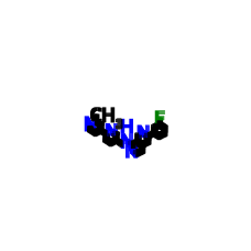 Cc1cc(-c2ccc(CNc3nccc4cc(-c5cccc(F)c5)ncc34)cn2)ccn1